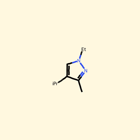 CCn1cc(C(C)C)c(C)n1